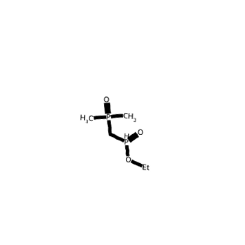 CCO[PH](=O)CP(C)(C)=O